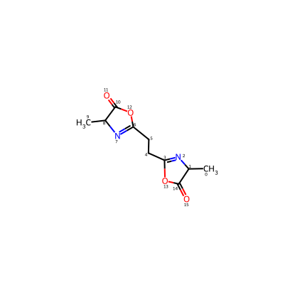 CC1N=C(CCC2=NC(C)C(=O)O2)OC1=O